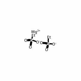 CCS(=O)(=O)[O-].CCS(=O)(=O)[O-].[Mg+2]